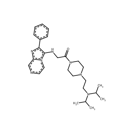 CC(C)N(CCN1CCN(C(=O)CNc2c(-c3ccccc3)nc3cnccn23)CC1)C(C)C